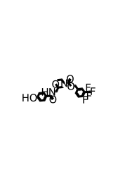 O=C(NCC1CN(C(=O)OCc2ccc(F)c(C(F)(F)F)c2)CCO1)c1ccc(O)cc1